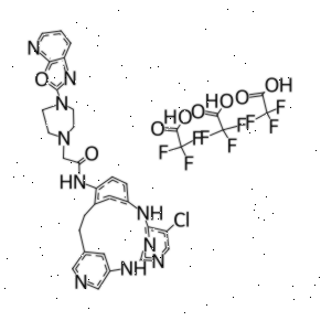 O=C(CN1CCN(c2nc3cccnc3o2)CC1)Nc1ccc2cc1CCc1cncc(c1)Nc1ncc(Cl)c(n1)N2.O=C(O)C(F)(F)F.O=C(O)C(F)(F)F.O=C(O)C(F)(F)F